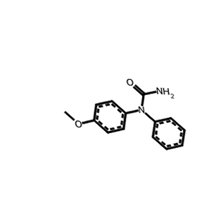 COc1ccc(N(C(N)=O)c2ccccc2)cc1